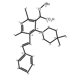 Cc1nc(C)c(C(OC(C)(C)C)C(=O)O)c(N2CCC(C)(C)CC2)c1C=Cc1ccccc1